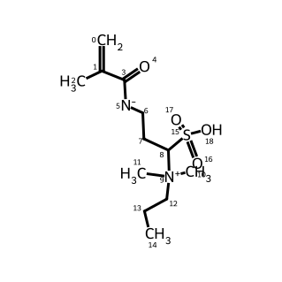 C=C(C)C(=O)[N-]CCC([N+](C)(C)CCC)S(=O)(=O)O